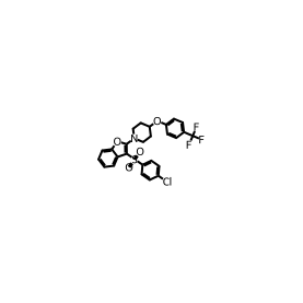 O=S(=O)(c1ccc(Cl)cc1)c1c(N2CCC(Oc3ccc(C(F)(F)F)cc3)CC2)oc2ccccc12